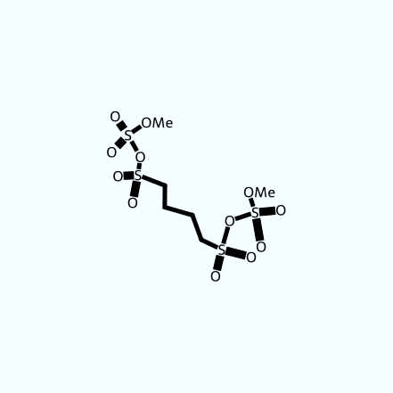 COS(=O)(=O)OS(=O)(=O)CCCCS(=O)(=O)OS(=O)(=O)OC